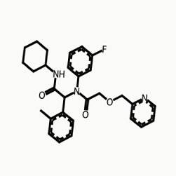 Cc1ccccc1C(C(=O)NC1CCCCC1)N(C(=O)COCc1ccccn1)c1cccc(F)c1